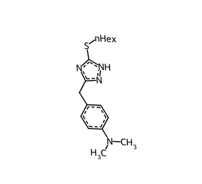 CCCCCCSc1nc(Cc2ccc(N(C)C)cc2)n[nH]1